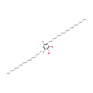 CCCCCCCCCCCCCCCCCCc1cc(C(=O)O)c(CCCCCCCCCCCCCCCCCC)c(C(=O)O)c1I=O